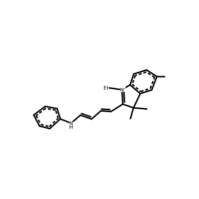 CC[N+]1=C(/C=C/C=C/Nc2ccccc2)C(C)(C)c2cc(C)ccc21